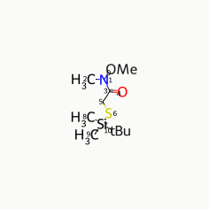 CON(C)C(=O)CS[Si](C)(C)C(C)(C)C